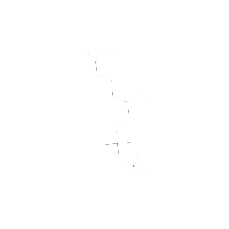 CCC(C)(C)CC(C)(C)NCN(C)CCCN(C)C